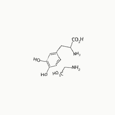 NC(Cc1ccc(O)c(O)c1)C(=O)O.NCC(=O)O